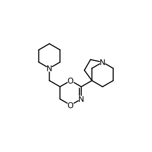 C1CCN(CC2CON=C(C34CCCN(CC3)C4)O2)CC1